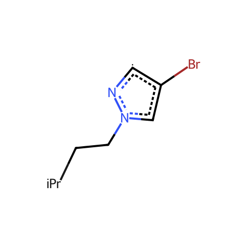 CC(C)CCn1cc(Br)[c]n1